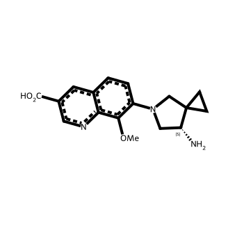 COc1c(N2C[C@@H](N)C3(CC3)C2)ccc2cc(C(=O)O)cnc12